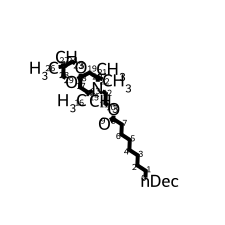 CCCCCCCCCCCCCCCCCC(=O)OCCN1C(C)(C)CC2(CC1(C)C)OCC(C)(C)CO2